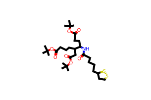 CC(C)(C)OC(=O)CCCC(CC(=O)OC(C)(C)C)C(CCC(=O)OC(C)(C)C)NC(=O)CCCCC1CCSS1